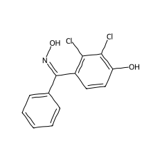 ON=C(c1ccccc1)c1ccc(O)c(Cl)c1Cl